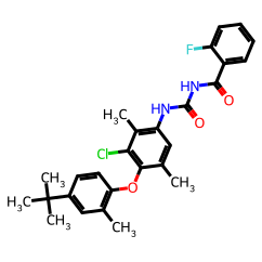 Cc1cc(C(C)(C)C)ccc1Oc1c(C)cc(NC(=O)NC(=O)c2ccccc2F)c(C)c1Cl